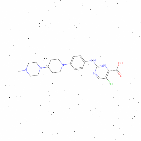 CN1CCN(C2CCN(c3ccc(Nc4ncc(Cl)c(C(=O)O)n4)cc3)CC2)CC1